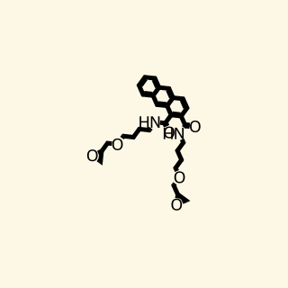 O=C(NCCCCOCC1CO1)c1ccc2cc3ccccc3cc2c1C(=O)NCCCCOCC1CO1